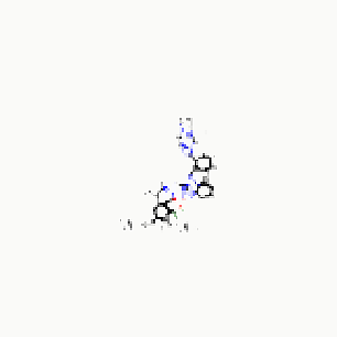 COc1ccc(C(=O)N(CCC(C)C)Cc2nc3ccccc3n2Cc2ccccc2CN2CCN(C)CC2)c(Cl)c1OC